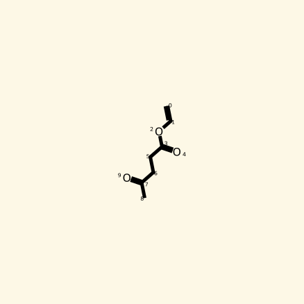 C=COC(=O)CCC(C)=O